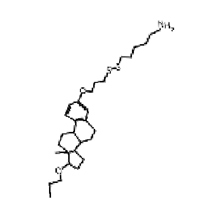 CCCOC1CCC2C3CCc4cc(OCCCSSCCCCCCN)ccc4C3CCC12C